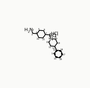 Cl.Cl.NCC1CCC(CN2CCC(c3ccccc3)CC2)CC1